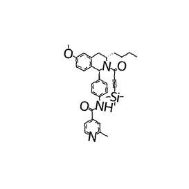 CCCC[C@H]1Cc2cc(OC)ccc2[C@H](c2ccc(NC(=O)c3ccnc(C)c3)cc2)N1C(=O)C#C[Si](C)(C)C